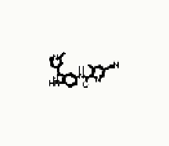 Cc1cc(-c2n[nH]c3ccc(NC(=O)c4ncc(C#N)cc4C)cc23)ccn1